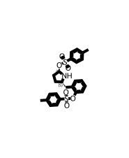 Cc1ccc(S(=O)(=O)Oc2ccccc2C[C@@H]2CC[C@H](OS(=O)(=O)c3ccc(C)cc3)N2)cc1